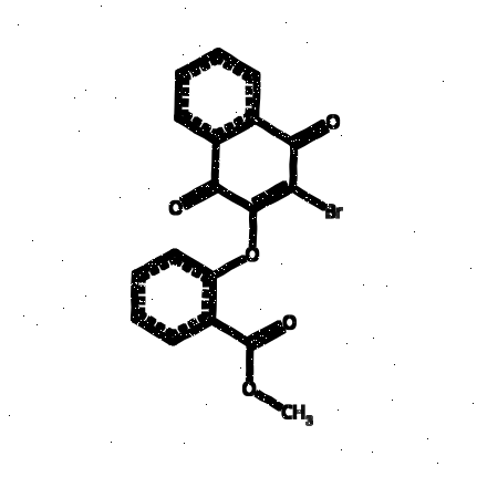 COC(=O)c1ccccc1OC1=C(Br)C(=O)c2ccccc2C1=O